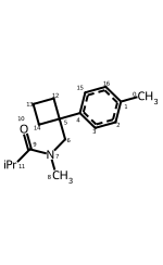 Cc1ccc(C2(CN(C)C(=O)C(C)C)CCC2)cc1